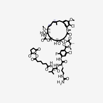 COc1cc2cc(c1Cl)N(C)C(=O)C[C@H](OC(=O)[C@H](C)N(C)C(=O)c1cc(F)c(NC(=O)[C@H](CCCNC(N)=O)NC(=O)[C@@H](NC(=O)CCCCC(=O)ON3C(=O)CCC3=O)C(C)C)cc1Cl)[C@]1(C)O[C@H]1C[C@@H]1C[C@@](O)(NC(=O)O1)[C@H](OC)/C=C/C=C(\C)C2